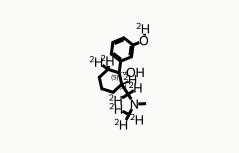 [2H]Oc1cccc([C@]2(O)C([2H])([2H])CCC[C@@]2([2H])C([2H])([2H])N(C)C([2H])([2H])[2H])c1